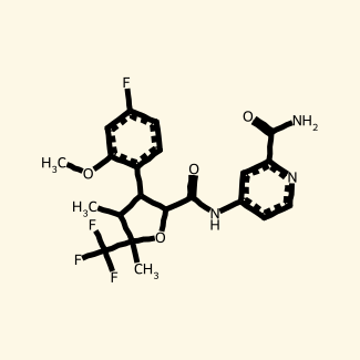 COc1cc(F)ccc1C1C(C(=O)Nc2ccnc(C(N)=O)c2)OC(C)(C(F)(F)F)C1C